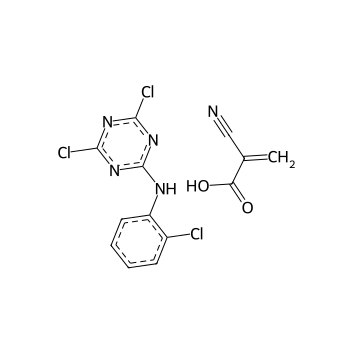 C=C(C#N)C(=O)O.Clc1nc(Cl)nc(Nc2ccccc2Cl)n1